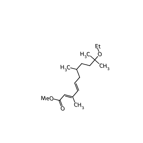 CCOC(C)(C)CCC(C)CC=CC(C)=CC(=O)OC